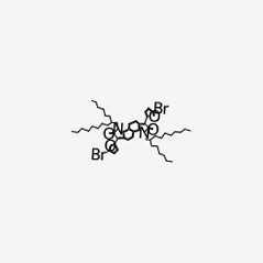 CCCCCCCCC(CCCCCC)CN1C(=O)C(c2ccc(Br)o2)=c2ccc3c4c(ccc3c21)=C(c1ccc(Br)o1)C(=O)N4CC(CCCCCC)CCCCCCCC